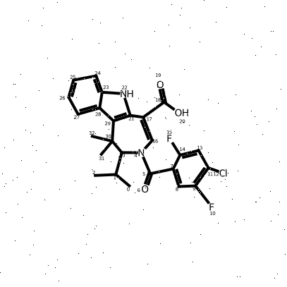 CC(C)C1N(C(=O)c2cc(F)c(Cl)cc2F)C=C(C(=O)O)c2[nH]c3ccccc3c2C1(C)C